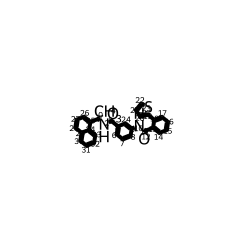 C[C@@H](NC(=O)c1cccc(NC(=O)c2ccccc2-c2cccs2)c1)c1cccc2ccccc12